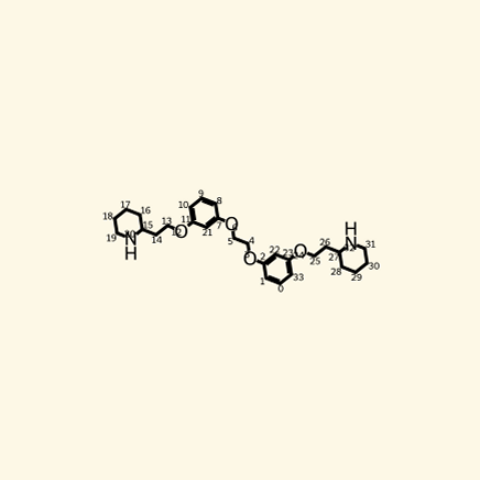 c1cc(OCCOc2cccc(OCCC3CCCCN3)c2)cc(OCCC2CCCCN2)c1